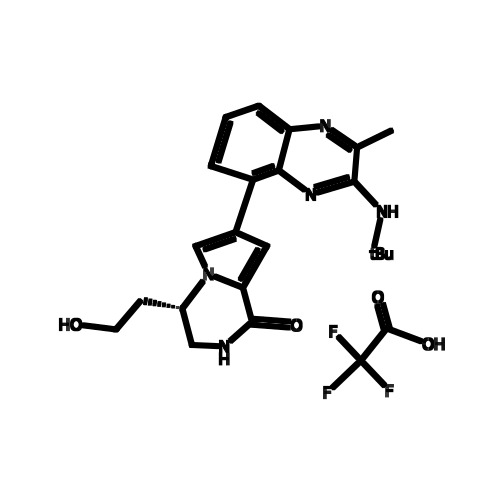 Cc1nc2cccc(-c3cc4n(c3)[C@@H](CCO)CNC4=O)c2nc1NC(C)(C)C.O=C(O)C(F)(F)F